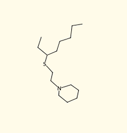 CCCCCC(CC)SCCN1CCCCC1